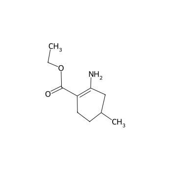 CCOC(=O)C1=C(N)CC(C)CC1